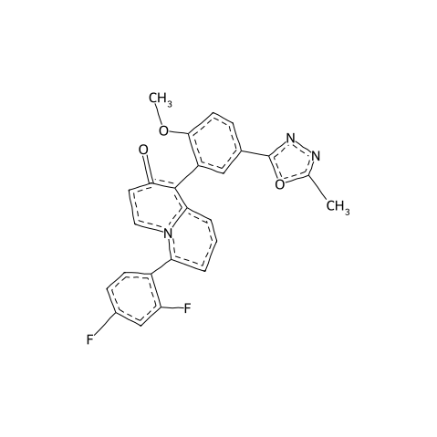 COc1ccc(-c2nnc(C)o2)cc1-c1c(=O)ccn2c(-c3ccc(F)cc3F)cccc12